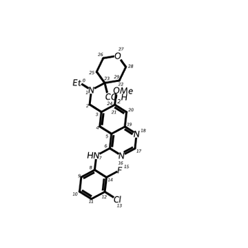 CCN(Cc1cc2c(Nc3cccc(Cl)c3F)ncnc2cc1OC)C1(C(=O)O)CCOCC1